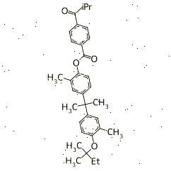 CCC(C)(C)Oc1ccc(C(C)(C)c2ccc(OC(=O)c3ccc(C(=O)C(C)C)cc3)c(C)c2)cc1C